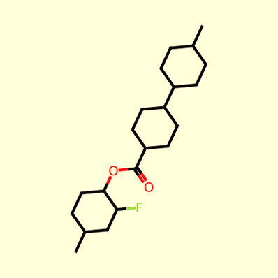 CC1CCC(C2CCC(C(=O)OC3CCC(C)CC3F)CC2)CC1